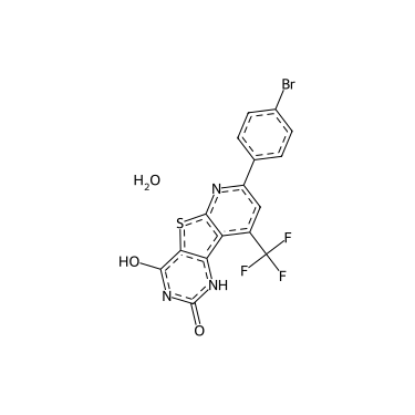 O.O=c1nc(O)c2sc3nc(-c4ccc(Br)cc4)cc(C(F)(F)F)c3c2[nH]1